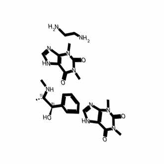 CN[C@@H](C)[C@H](O)c1ccccc1.Cn1c(=O)c2[nH]cnc2n(C)c1=O.Cn1c(=O)c2[nH]cnc2n(C)c1=O.NCCN